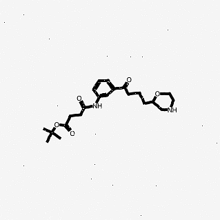 CC(C)(C)OC(=O)CCC(=O)Nc1cccc(C(=O)CCCC2CNCCO2)c1